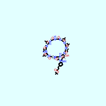 CC[C@@H]1NC(=O)[C@H]([C@H](O)[C@H](C)Cc2nc3cc(/C=C/C(=O)OC(C)(C)C)ccc3[nH]2)N(C)C(=O)[C@H](C(C)C)N(C)C(=O)[C@H](CC(C)C)N(C)C(=O)[C@H](CC(C)C)N(C)C(=O)[C@@H](C)NC(=O)[C@H](C)NC(=O)[C@H](CC(C)C)N(C)C(=O)[C@H](C(C)C)NC(=O)[C@H](CC(C)C)N(C)C(=O)CN(C)C1=O